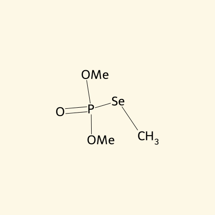 COP(=O)(OC)[Se]C